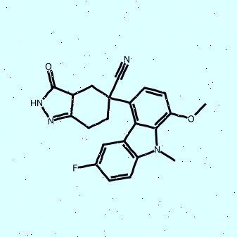 COc1ccc(C2(C#N)CCC3=NNC(=O)C3C2)c2c3cc(F)ccc3n(C)c12